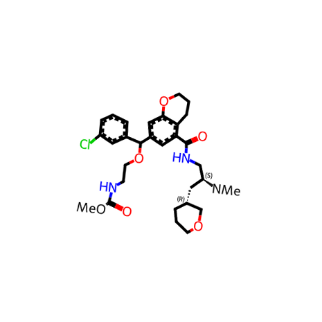 CN[C@H](CNC(=O)c1cc(C(OCCNC(=O)OC)c2cccc(Cl)c2)cc2c1CCCO2)C[C@H]1CCCOC1